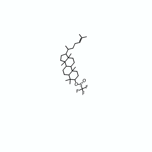 CC(C)=CCCC(C)C1CCC2(C)C3CCC4C(C)(C)C(OS(=O)C(F)(F)F)CCC4(C)C3CCC12C